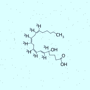 [2H]C(/C=C(\[2H])[C@@]([2H])(O)CCCC(=O)O)=C(\[2H])C/C([2H])=C(/[2H])C/C([2H])=C(/[2H])CCCCC